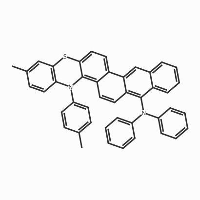 Cc1ccc(N2c3ccc(C)cc3Sc3ccc4c(ccc5c(N(c6ccccc6)c6ccccc6)c6ccccc6cc54)c32)cc1